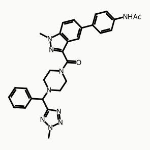 CC(=O)Nc1ccc(-c2ccc3c(c2)c(C(=O)N2CCN(C(c4ccccc4)c4nnn(C)n4)CC2)nn3C)cc1